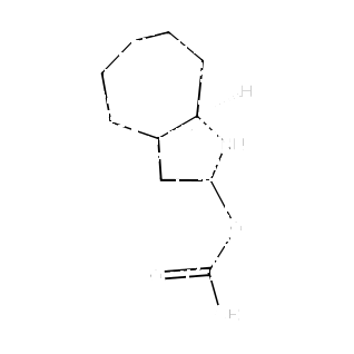 O=C(O)OC1CC2CCCCC[C@H]2N1